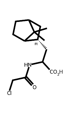 CC1(C)C2CCC1[C@@H](CC(NC(=O)CCl)C(=O)O)C2